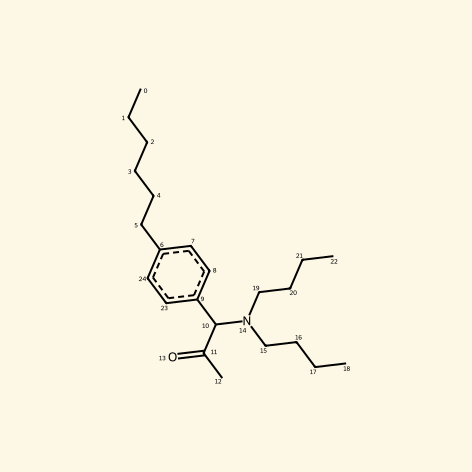 CCCCCCc1ccc(C(C(C)=O)N(CCCC)CCCC)cc1